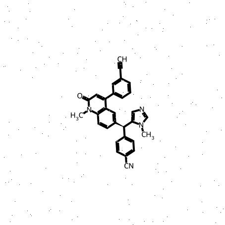 C#Cc1cccc(-c2cc(=O)n(C)c3ccc([C@H](c4ccc(C#N)cc4)c4cncn4C)cc23)c1